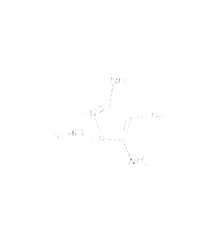 Cl.Cl.Nc1n[nH]c(N)c1N